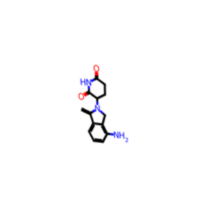 C=C1c2cccc(N)c2CN1C1CCC(=O)NC1=O